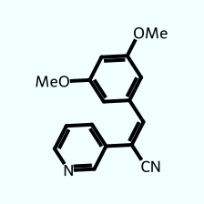 COc1cc(C=C(C#N)c2cccnc2)cc(OC)c1